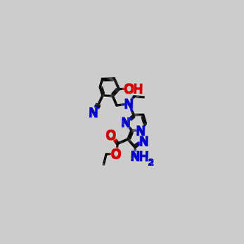 CCOC(=O)c1c(N)nn2ccc(N(CC)Cc3c(O)cccc3C#N)nc12